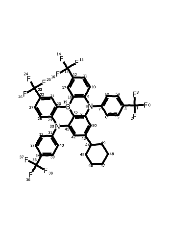 FC(F)(F)c1ccc(N2c3ccc(C(F)(F)F)cc3B3c4cc(C(F)(F)F)ccc4N(c4ccc(C(F)(F)F)cc4)c4cc(C5CCCCC5)cc2c43)cc1